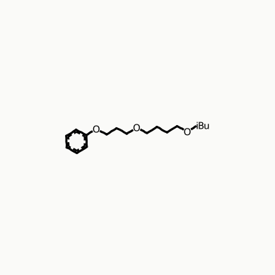 CCC(C)OCCCCOCCCOc1ccccc1